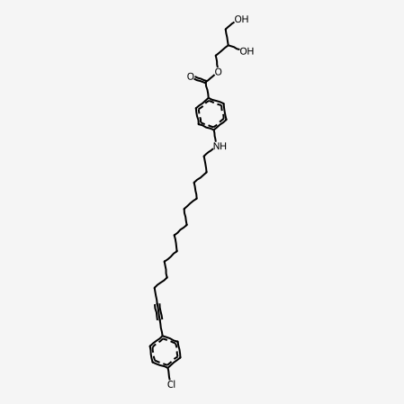 O=C(OCC(O)CO)c1ccc(NCCCCCCCCCCCC#Cc2ccc(Cl)cc2)cc1